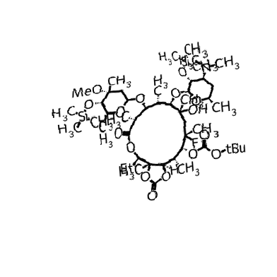 CC[C@H]1OC(=O)[C@H](C)[C@@H](OC2C[C@@](C)(OC)[C@@H](O[Si](C)(C)C)[C@H](C)O2)[C@H](C)[C@@H](O[C@@H]2O[C@H](C)C[C@H](N(C)C)[C@H]2O[Si](C)(C)C)[C@](C)(O)C[C@](C)(F)[C@H](OC(=O)OC(C)(C)C)[C@H](C)[C@H]2OC(=O)O[C@@]21C